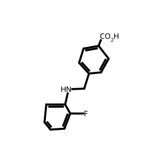 O=C(O)c1ccc(CNc2ccccc2F)cc1